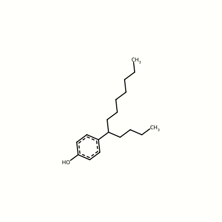 CCCCCCCC(CCCC)c1ccc(O)cc1